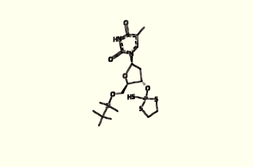 Cc1cn([C@H]2C[C@H](O[P]3(S)SCCS3)[C@@H](CO[Si](C)(C)C(C)(C)C)O2)c(=O)[nH]c1=O